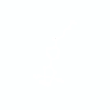 COCCNc1ccc(B2OC(C)(C)C(C)(C)O2)cc1